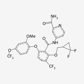 COc1cc(OC(F)(F)F)ccc1Oc1ccc(C(F)(F)F)c(OCC2CC2(F)F)c1C(=O)Nc1ccnc(C(N)=O)c1